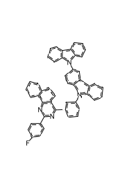 Fc1ccc(-c2nc(-c3cccc(-n4c5ccccc5c5cc(-n6c7ccccc7c7ccccc76)ccc54)c3)c3ccc4ccccc4c3n2)cc1